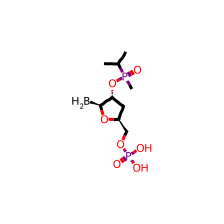 B[C@@H]1O[C@H](COP(=O)(O)O)C[C@H]1OP(C)(=O)C(C)C